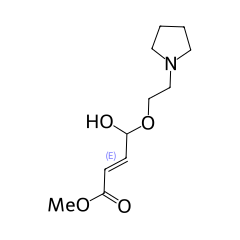 COC(=O)/C=C/C(O)OCCN1CCCC1